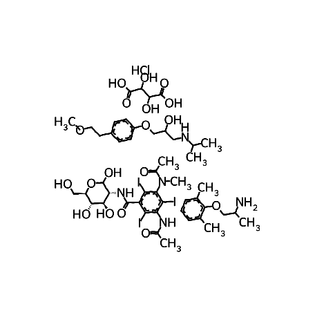 CC(=O)Nc1c(I)c(C(=O)N[C@H]2C(O)O[C@H](CO)[C@@H](O)[C@@H]2O)c(I)c(N(C)C(C)=O)c1I.COCCc1ccc(OCC(O)CNC(C)C)cc1.Cc1cccc(C)c1OCC(C)N.Cl.O=C(O)C(O)C(O)C(=O)O